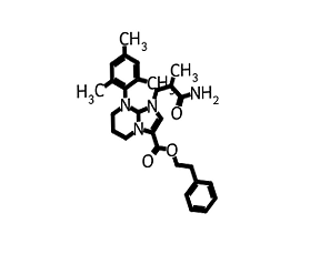 Cc1cc(C)c(N2CCCN3C(C(=O)OCCc4ccccc4)=CN(CC(C)C(N)=O)C32)c(C)c1